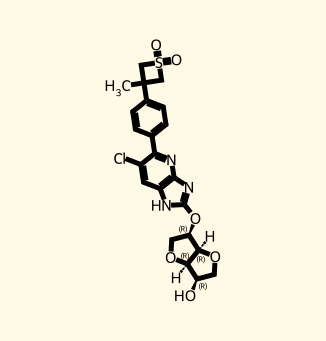 CC1(c2ccc(-c3nc4nc(O[C@@H]5CO[C@H]6[C@@H]5OC[C@H]6O)[nH]c4cc3Cl)cc2)CS(=O)(=O)C1